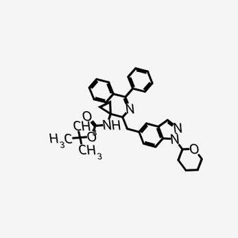 CC(C)(C)OC(=O)NC1(C(Cc2ccc3c(cnn3C3CCCCO3)c2)N=C(c2ccccc2)c2ccccc2)CC1